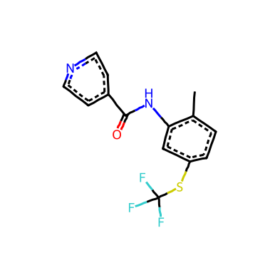 Cc1ccc(SC(F)(F)F)cc1NC(=O)c1ccncc1